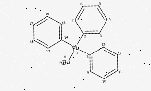 CCC[CH2][Pb]([c]1ccccc1)([c]1ccccc1)[c]1ccccc1